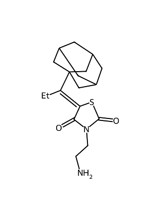 CCC(=C1SC(=O)N(CCN)C1=O)C12CC3CC(CC(C3)C1)C2